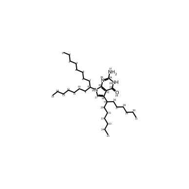 CCCCCCCCC(CCCCCCC)n1cc(C(CCCCCC)CCCCCC)c2c(=O)[nH]c(N)nc21